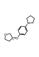 c1cc(N2CCCC2)ccc1O[C@H]1CCOC1